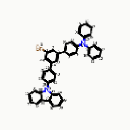 Brc1cc(-c2ccc(N(c3ccccc3)c3ccccc3)cc2)cc(-c2ccc(-n3c4ccccc4c4ccccc43)cc2)c1